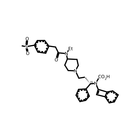 CCN(C(=O)Cc1ccc(S(C)(=O)=O)cc1)C1CCN(CC[C@@H](c2ccccc2)N(C(=O)O)C2=Cc3ccccc32)CC1